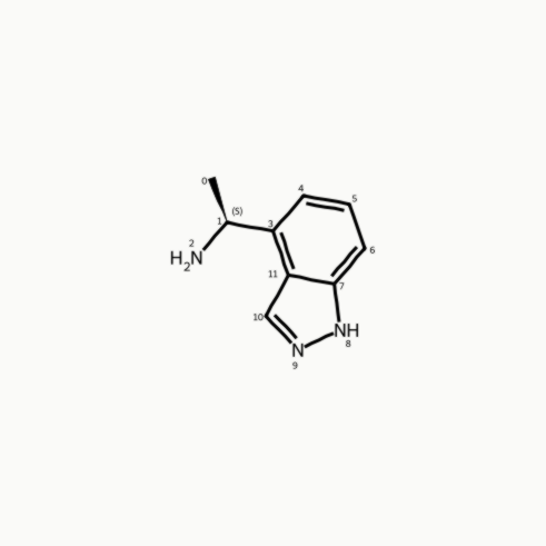 C[C@H](N)c1cccc2[nH]ncc12